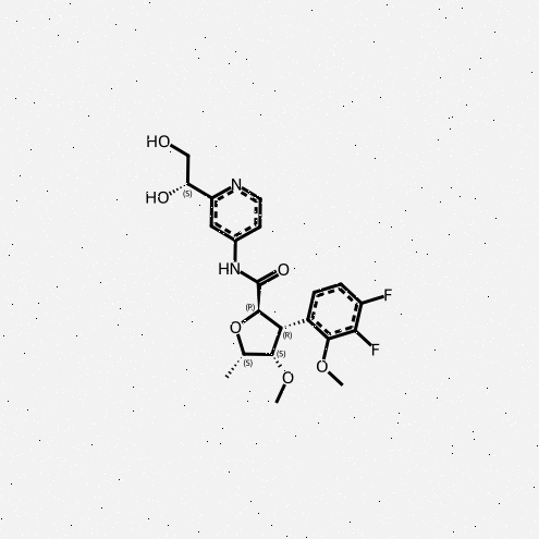 COc1c([C@@H]2[C@H](OC)[C@H](C)O[C@H]2C(=O)Nc2ccnc([C@H](O)CO)c2)ccc(F)c1F